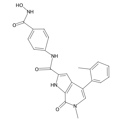 Cc1ccccc1-c1cn(C)c(=O)c2[nH]c(C(=O)Nc3ccc(C(=O)NO)cc3)cc12